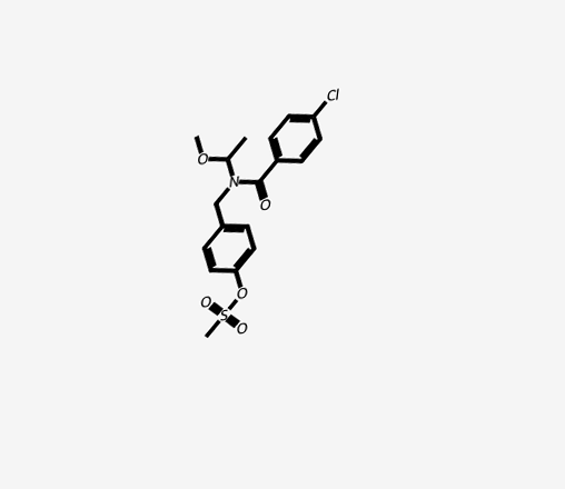 COC(C)N(Cc1ccc(OS(C)(=O)=O)cc1)C(=O)c1ccc(Cl)cc1